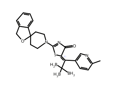 BC(B)(B)/C(=C1\SC(N2CCC3(CC2)OCc2ccccc23)=NC1=O)c1ccc(C)nc1